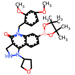 COc1ccc(Cn2c(=O)c3c(c4ccc(B5OC(C)(C)C(C)(C)O5)cc42)N(C2CCOC2)NC3)c(OC)c1